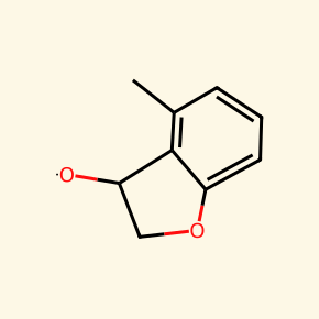 Cc1cccc2c1C([O])CO2